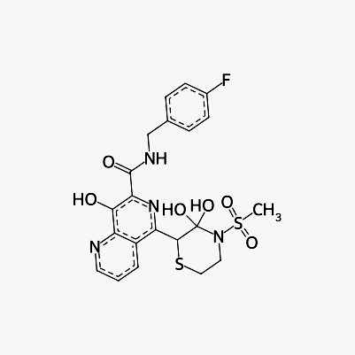 CS(=O)(=O)N1CCSC(c2nc(C(=O)NCc3ccc(F)cc3)c(O)c3ncccc23)C1(O)O